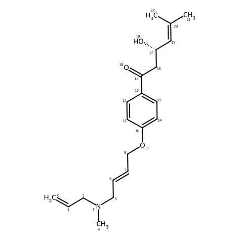 C=CCN(C)CC=CCOc1ccc(C(=O)C[C@H](O)C=C(C)C)cc1